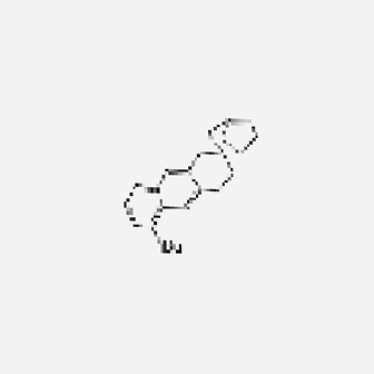 CCC(C)c1cccc2cc3c(cc12)CCC1(CC2=CCC1C2)C3